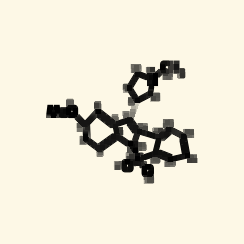 COc1ccc2c(c1)c([C@@H]1CCN(C)C1)c1n2S(=O)(=O)c2ccccc2-1